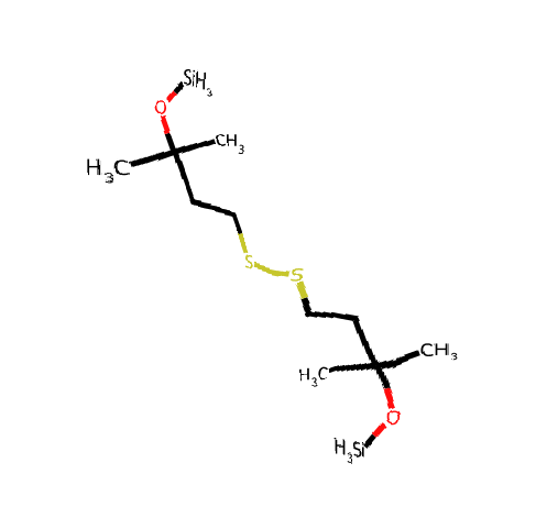 CC(C)(CCSSCCC(C)(C)O[SiH3])O[SiH3]